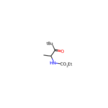 CCOC(=O)NC(C)C(=O)C(C)(C)C